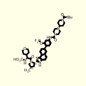 C[C@H]1C[C@@H](c2nc3c(ccc4cc(-c5ccc(NC(=O)N6CCN(C7CCN(C(=O)C(C)(C)C)CC7)CC6)cc5OC(F)(F)F)ccc43)[nH]2)N(C(=O)[C@@H](NC(=O)O)C2CCOCC2)C1